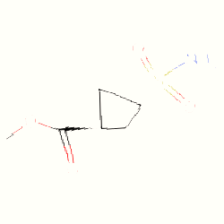 COC(=O)[C@H]1C[C@H](S(N)(=O)=O)C1